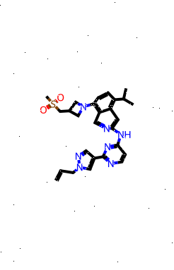 C=CCn1cc(-c2nccc(Nc3cc4c(C(C)C)ccc(N5CC(CS(C)(=O)=O)C5)c4cn3)n2)cn1